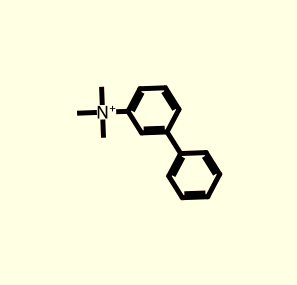 C[N+](C)(C)c1cccc(-c2ccccc2)c1